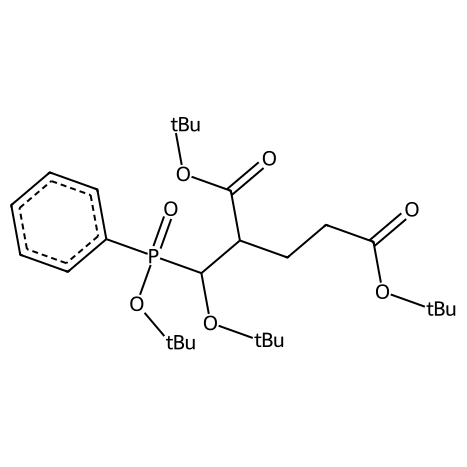 CC(C)(C)OC(=O)CCC(C(=O)OC(C)(C)C)C(OC(C)(C)C)P(=O)(OC(C)(C)C)c1ccccc1